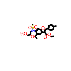 CCOC(=O)c1c(-c2ccc(C)cc2)oc2cc3c(cc12)C(C)OC(CO)CN3S(C)(=O)=O